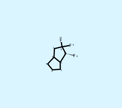 F[C@@H]1C2CCCC2CC1(F)F